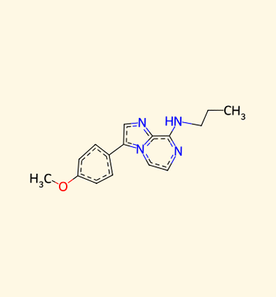 CCCNc1nccn2c(-c3ccc(OC)cc3)cnc12